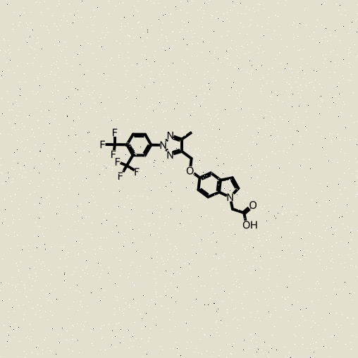 Cc1nn(-c2ccc(C(F)(F)F)c(C(F)(F)F)c2)nc1COc1ccc2c(ccn2CC(=O)O)c1